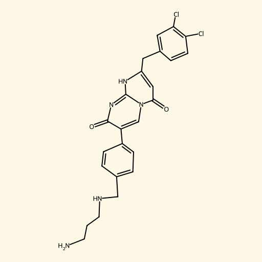 NCCCNCc1ccc(-c2cn3c(=O)cc(Cc4ccc(Cl)c(Cl)c4)[nH]c3nc2=O)cc1